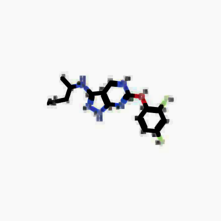 CC(=O)CC(C)Nc1n[nH]c2nc(Oc3ccc(F)cc3F)ncc12